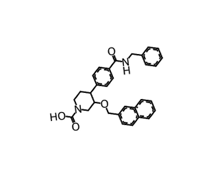 O=C(NCc1ccccc1)c1ccc(C2CCN(C(=O)O)CC2OCc2ccc3ccccc3c2)cc1